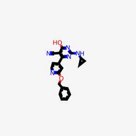 N#Cc1c(O)nc(NC2CC2)nc1-c1ccnc(OCc2ccccc2)c1